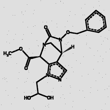 COC(=O)[C@@H]1c2c(cnn2CC(O)O)[C@H]2CN1C(=O)N2OCc1ccccc1